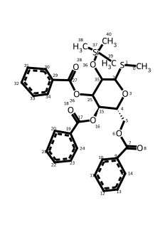 CSC1O[C@H](COC(=O)c2ccccc2)[C@@H](OC(=O)c2ccccc2)C(OC(=O)c2ccccc2)C1O[Si](C)(C)C